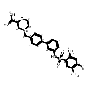 Cc1cc(S(=O)(=O)Nc2cccc(-c3ccc(CN4CCOC(C(=O)O)C4)cc3)c2)c(C)cc1Cl